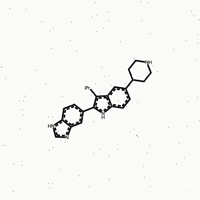 CC(C)c1c(-c2ccc3[nH]cnc3c2)[nH]c2ccc(C3CCNCC3)cc12